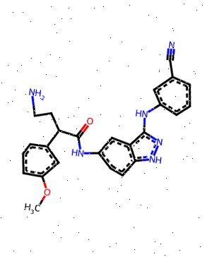 COc1cccc(C(CCN)C(=O)Nc2ccc3[nH]nc(Nc4cccc(C#N)c4)c3c2)c1